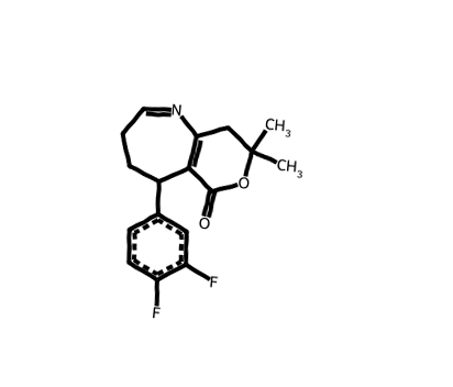 CC1(C)CC2=C(C(=O)O1)C(c1ccc(F)c(F)c1)CCC=N2